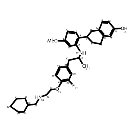 COc1ccc(C2CCc3cc(O)ccc3C2)c(NC(C)Cc2ccc(OCCNCC3CCCCC3)c(F)c2)c1